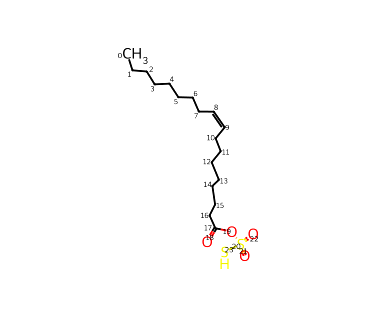 CCCCCCCC/C=C\CCCCCCCC(=O)OS(=O)(=O)S